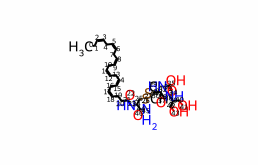 CC/C=C\C/C=C\C/C=C\C/C=C\C/C=C\C/C=C\CCC(=O)NC(CSSC(C)(C)C(NC(=O)O)C(=O)NC(CO)CO)C(N)=O